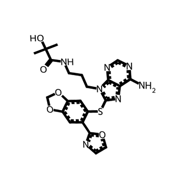 CC(C)(O)C(=O)NCCCn1c(Sc2cc3c(cc2-c2ncco2)OCO3)nc2c(N)ncnc21